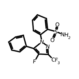 NS(=O)(=O)c1ccccc1-n1nc(C(F)(F)F)c(F)c1-c1ccccc1